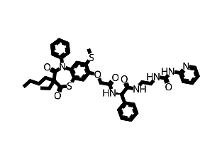 CCCCC1(CC)C(=O)Sc2cc(OCC(=O)N[C@@H](C(=O)NCCNC(=O)Nc3ccccn3)c3ccccc3)c(SC)cc2N(c2ccccc2)C1=O